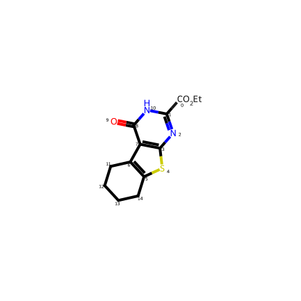 CCOC(=O)c1nc2sc3c(c2c(=O)[nH]1)CCCC3